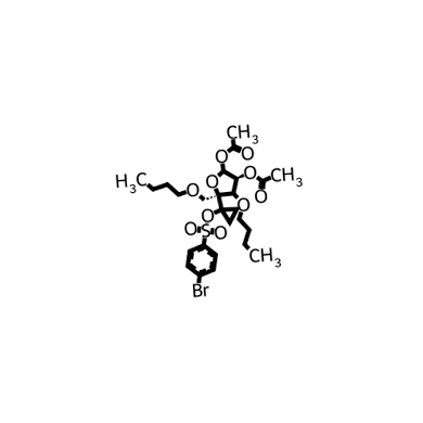 CCCCOC[C@]1(C2(OS(=O)(=O)c3ccc(Br)cc3)CC2)OC(OC(C)=O)[C@@H](OC(C)=O)C1OCCCC